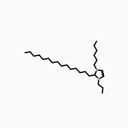 CCCCCCCCCCCCCCCC1N(CCC)C=CN1CCCCCC